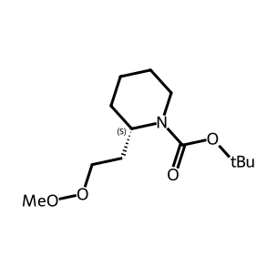 COOCC[C@@H]1CCCCN1C(=O)OC(C)(C)C